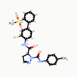 Cc1ccc(NC(=O)N2N=CCC2C(=O)Nc2ccc(-c3ccccc3S(C)(=O)=O)cc2F)cc1